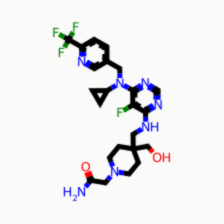 NC(=O)CN1CCC(CO)(CNc2ncnc(N(Cc3ccc(C(F)(F)F)nc3)C3CC3)c2F)CC1